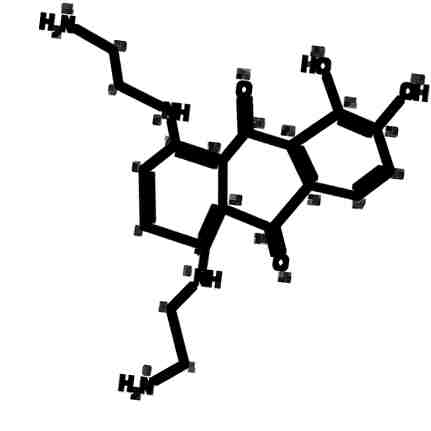 NCCNc1ccc(NCCN)c2c1C(=O)c1ccc(O)c(O)c1C2=O